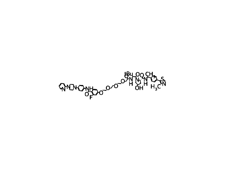 Cc1ncsc1-c1ccc([C@H](C)NC(=O)[C@@H]2C[C@@H](O)CN2C(=O)[C@@H](NC(=O)COCCOCCOCCOc2ccc(C(=O)Nc3ccc(N4CCN(c5ccccn5)CC4)cc3)c(F)c2)C(C)(C)C)cc1